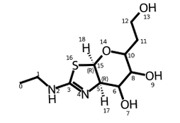 CCNC1=N[C@@H]2C(O)C(O)C(CCO)O[C@@H]2S1